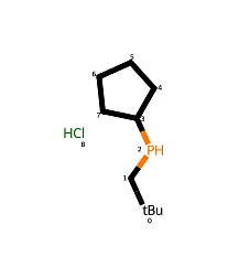 CC(C)(C)CPC1CCCC1.Cl